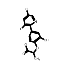 CC(Oc1ccc(-c2ncc(Cl)cc2F)cc1O)C(=O)Cl